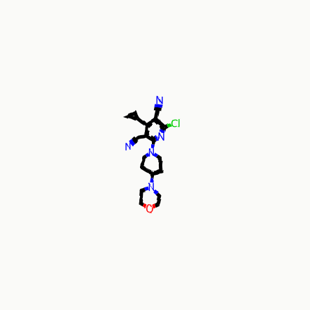 N#Cc1c(Cl)nc(N2CCC(N3CCOCC3)CC2)c(C#N)c1C1CC1